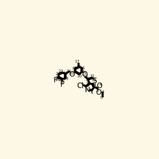 CCOC(=O)c1cnc(Cl)c2c(COc3cc(C)cc(OCc4ccc(F)c(F)c4)c3)csc12